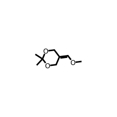 COC=C1COC(C)(C)OC1